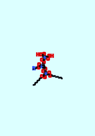 CCCCCCCCOC(=O)CN(CC(=O)OCCCCCCCC)CC(=O)O[C@H]1C[C@@H](COC(=O)CN(CC(=O)O)CC(=O)O)N(C(=O)OCCN(C)C)C1